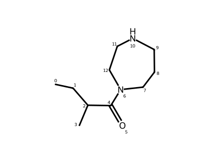 CCC(C)C(=O)N1CCCNCC1